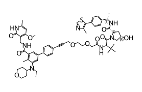 CCN(c1cc(-c2ccc(C#CCOCCOCC(=O)NC(C(=O)N3C[C@H](O)C[C@H]3C(=O)N[C@@H](C)c3ccc(-c4scnc4C)cc3)C(C)(C)C)cc2)cc(C(=O)NCc2c(OC)cc(C)[nH]c2=O)c1C)C1CCOCC1